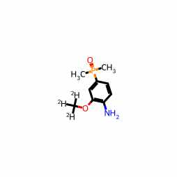 [2H]C([2H])([2H])Oc1cc(P(C)(C)=O)ccc1N